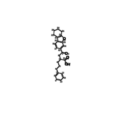 O=C(CC(CCCc1ccccc1)C(=O)O)c1ccc2c3c(oc2c1)CCCC3